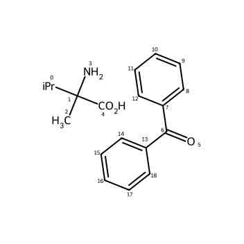 CC(C)C(C)(N)C(=O)O.O=C(c1ccccc1)c1ccccc1